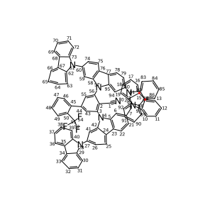 N#Cc1c(-n2c3cc(-n4c5ccccc5c5ccccc54)ccc3c3ccc(-n4c5ccccc5c5ccccc54)cc32)cc(-c2ccccc2C(F)(F)F)cc1-n1c2cc(-n3c4ccccc4c4ccccc43)ccc2c2ccc(-n3c4ccccc4c4ccccc43)cc21